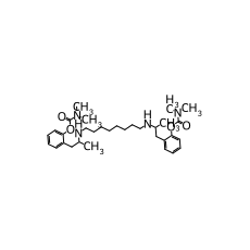 CC(Cc1ccccc1OC(=O)N(C)C)NCCCCCCCCNC(C)Cc1ccccc1OC(=O)N(C)C